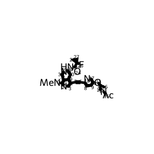 CNc1ncc(C#Cc2ccc(OC3CN(C(C)=O)C3)cn2)c2cc(NC(=O)C3(F)CC3)ncc12